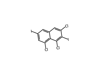 Clc1cc2cc(I)cc(Cl)c2c(Cl)c1I